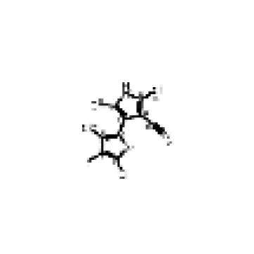 Cc1c(Cl)sc(-c2c(Cl)[nH]c(Cl)c2C#N)c1Cl